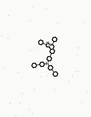 c1ccc(-c2ccc(N(c3ccc(-c4ccccc4)cc3)c3ccc(-c4ccc5cc(-c6ccccc6)n6nc(-c7ccccc7)cc6c5c4)cc3)cc2)cc1